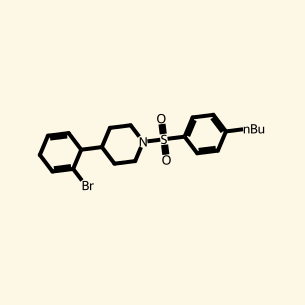 CCCCc1ccc(S(=O)(=O)N2CCC(C3C=CCC=C3Br)CC2)cc1